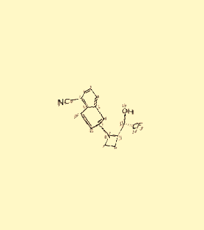 N#Cc1cccc2cc(N3CCC3[C@H](O)C(F)(F)F)ccc12